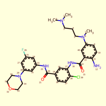 CN(C)CCCN(C)c1ccc(N)c(C(=O)Nc2cc(C(=O)Nc3cc(F)cc(N4CCOCC4)c3)ccc2Cl)c1